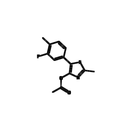 CC(=O)Oc1nc(C)sc1-c1ccc(C)c(F)c1